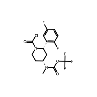 CN(C(=O)OC(F)(F)F)[C@@H]1CCN(C(=O)Cl)[C@H](c2cc(F)ccc2F)C1